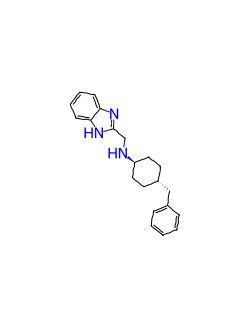 c1ccc(C[C@H]2CC[C@H](NCc3nc4ccccc4[nH]3)CC2)cc1